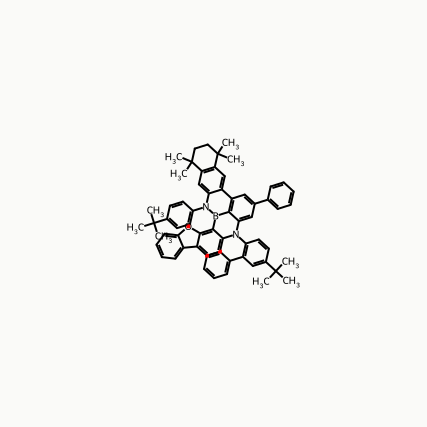 CC(C)(C)c1ccc(N2B3c4c(cc(-c5ccccc5)cc4N(c4ccc(C(C)(C)C)cc4-c4ccccc4)c4ccc5c(oc6ccccc65)c43)-c3cc4c(cc32)C(C)(C)CCC4(C)C)cc1